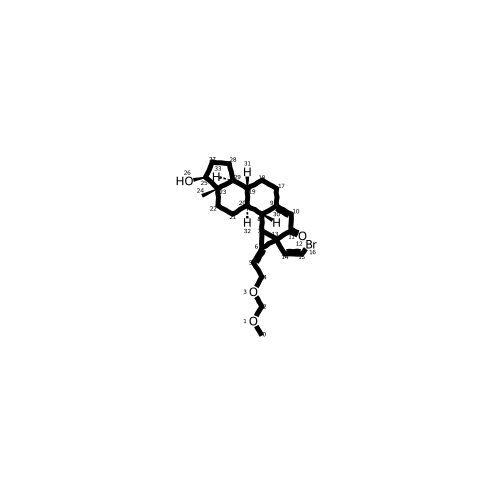 COCOC/C=C1/C2[C@H]3C(=CC(=O)C12/C=C\Br)CC[C@@H]1[C@@H]3CC[C@]2(C)[C@@H](O)CC[C@@H]12